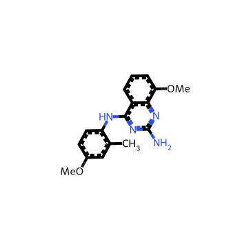 COc1ccc(Nc2nc(N)nc3c(OC)cccc23)c(C)c1